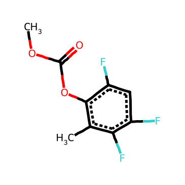 COC(=O)Oc1c(F)cc(F)c(F)c1C